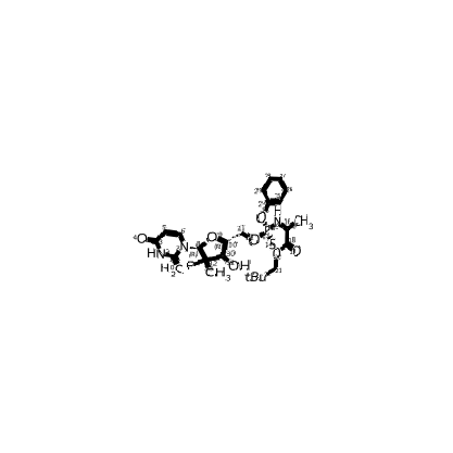 C=C1NC(=O)C=CN1[C@@H]1O[C@H](COP(=S)(NC(C)C(=O)OCC(C)(C)C)Oc2ccccc2)C(O)C1(C)F